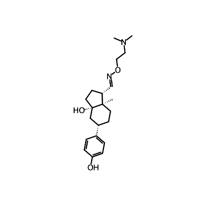 CN(C)CCON=C[C@H]1CC[C@]2(O)C[C@@H](c3ccc(O)cc3)CC[C@]12C